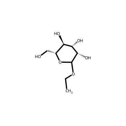 CCOC1O[C@H](CO)[C@@H](O)[C@H](O)[C@@H]1O